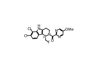 COc1cnc(C(=O)N2CCc3[nH]c4c(Cl)c(Cl)ccc4c3[C@@H]2CF)nc1